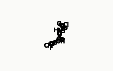 O=C1C=C(Cl)C(=O)C(C(=O)NN2CCC(N(C[C@H](O)COc3ccc(Cl)c(F)c3)c3ccccc3)CC2)=C1